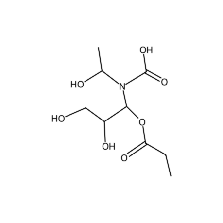 CCC(=O)OC(C(O)CO)N(C(=O)O)C(C)O